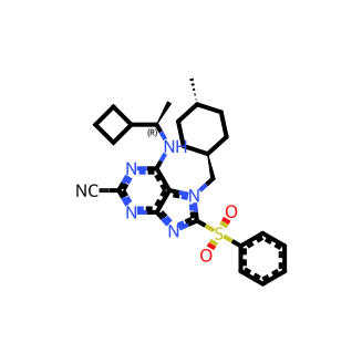 C[C@@H](Nc1nc(C#N)nc2nc(S(=O)(=O)c3ccccc3)n(C[C@H]3CC[C@H](C)CC3)c12)C1CCC1